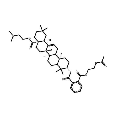 CC(=O)NCCOC(=O)c1ccccc1C(=O)C[C@H]1CC[C@@]2(C)C(CC[C@]3(C)C2CC=C2[C@@H]4CC(C)(C)CC[C@]4(C(=O)NCCN(C)C)CC[C@]23C)C1(C)C